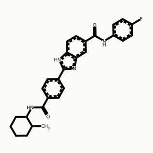 CC1CCCCC1NC(=O)c1ccc(-c2nc3cc(C(=O)Nc4ccc(F)cc4)ccc3[nH]2)cc1